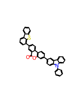 O=c1oc2cc(-c3ccc4c(c3)c3ccccc3n4-c3ccccc3)ccc2c2ccc(-c3cccc4c3sc3ccccc34)cc12